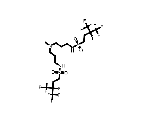 CN(CCCNS(=O)(=O)CCC(F)(C(F)(F)F)C(F)(F)F)CCCNS(=O)(=O)CCC(F)(C(F)(F)F)C(F)(F)F